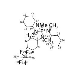 CN[P+](N(C)C1CCCCC1)(N(C)C1CCCCC1)N(C)C1CCCCC1.F[P-](F)(F)(F)(F)F